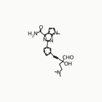 CN(C)CC[C@@](O)(C#Cc1cccc(-c2nc(C(N)=O)c3ccn(C)c3n2)c1)C=O